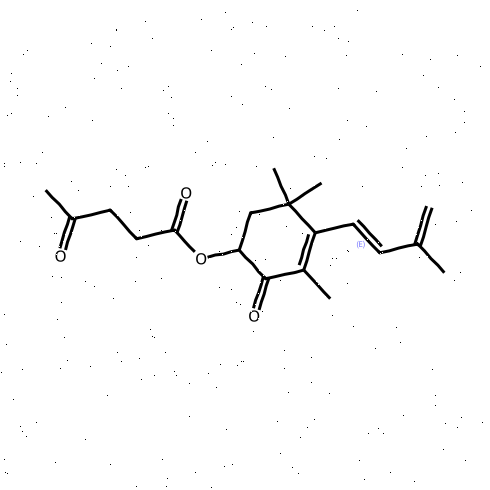 C=C(C)/C=C/C1=C(C)C(=O)C(OC(=O)CCC(C)=O)CC1(C)C